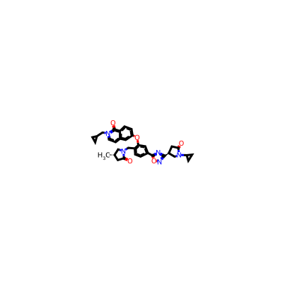 C[C@H]1CC(=O)N(Cc2ccc(-c3nc([C@H]4CC(=O)N(C5CC5)C4)no3)cc2Oc2ccc3c(=O)n(CC4CC4)ccc3c2)C1